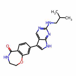 CC(C)CNc1ncc2c(-c3ccc4c(c3)OCCNC4=O)c[nH]c2n1